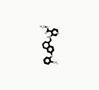 COC(=O)c1ccncc1NCC1CCCc2cc(Sc3ccccc3C)ccc21